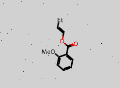 CCC=COC(=O)c1ccccc1OC